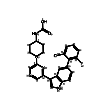 O=C(O)NC1CCN(c2cncc(-c3c[nH]c4ccc(-c5c(F)cccc5Cl)cc34)n2)CC1